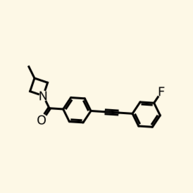 CC1CN(C(=O)c2ccc(C#Cc3cccc(F)c3)cc2)C1